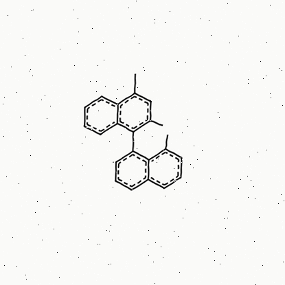 Cc1cc(C)c2ccccc2c1-c1[c]ccc2cccc(C)c12